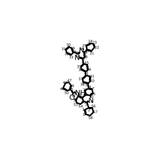 C1=CC(C2=NC3=CC=C(c4ccc(-c5ccc(-c6cc(-c7ccccc7)nc(-c7ccccc7)n6)cc5)cc4)CC3C3=C4NC(C5=CCCC=C5)OC4CCC23)=CCC1